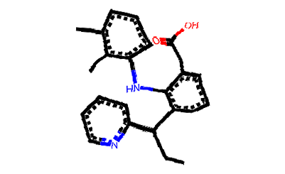 CCC(c1ccccn1)c1cccc(C(=O)O)c1Nc1cccc(C)c1C